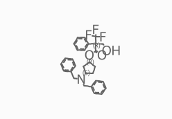 O=C(O[C@@H]1CC[C@H](N(Cc2ccccc2)Cc2ccccc2)C1)[C@](CO)(c1ccccc1)C(F)(F)F